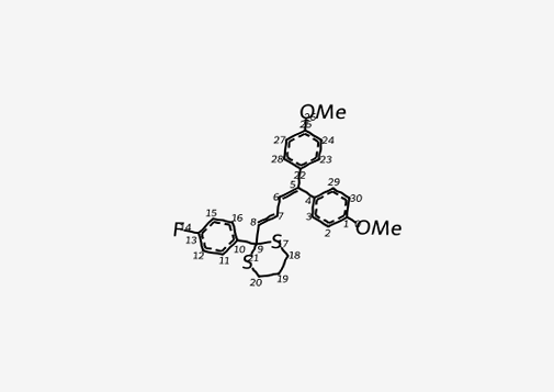 COc1ccc(C(=C/C=C/C2(c3ccc(F)cc3)SCCCS2)c2ccc(OC)cc2)cc1